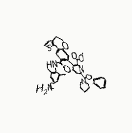 COC(=O)c1nc(C(=O)N2CCCC[C@H]2c2ccccc2)ccc1-c1cc2c(cc1C(=O)Nc1c(C)cc(CN)cc1C)-c1sccc1CCO2